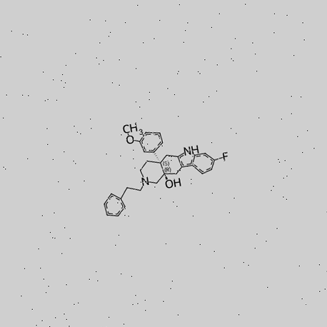 COc1cccc([C@@]23CCN(CCc4ccccc4)C[C@@]2(O)Cc2c([nH]c4cc(F)ccc24)C3)c1